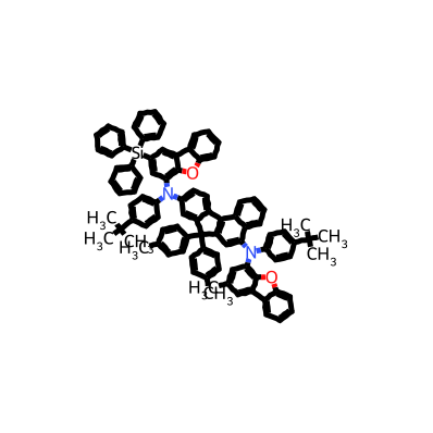 Cc1ccc(C2(c3ccc(C)cc3)c3cc(N(c4ccc(C(C)(C)C)cc4)c4cc([Si](c5ccccc5)(c5ccccc5)c5ccccc5)cc5c4oc4ccccc45)ccc3-c3c2cc(N(c2ccc(C(C)(C)C)cc2)c2cc(C)cc4c2oc2ccccc24)c2ccccc32)cc1